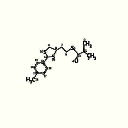 C=C(C)C(=O)SCCC1CSC(c2ccc(C)cc2)S1